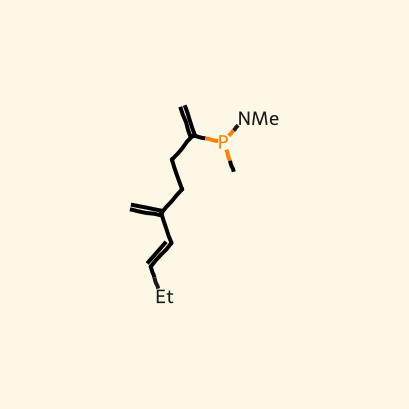 C=C(/C=C/CC)CCC(=C)P(C)NC